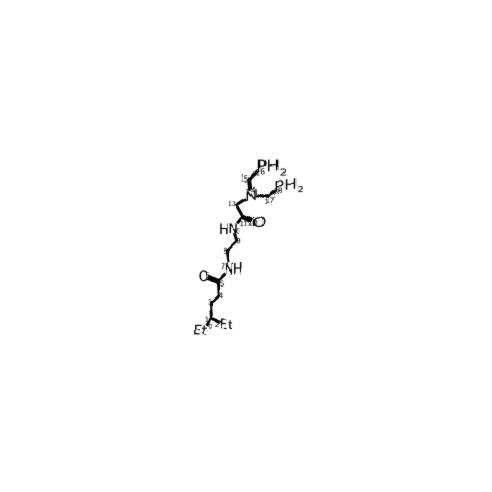 CCC(CC)CCC(=O)NCCNC(=O)CN(CP)CP